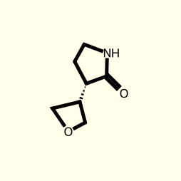 O=C1NCC[C@H]1C1COC1